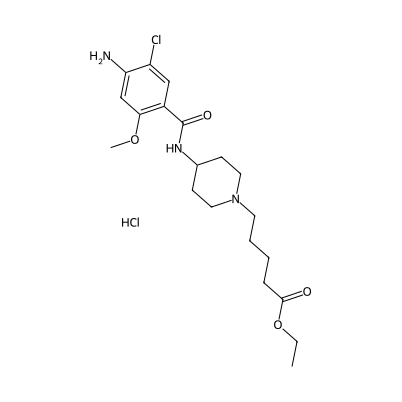 CCOC(=O)CCCCN1CCC(NC(=O)c2cc(Cl)c(N)cc2OC)CC1.Cl